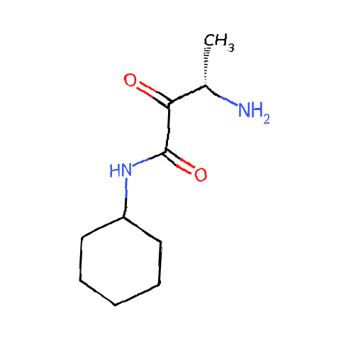 C[C@H](N)C(=O)C(=O)NC1CCCCC1